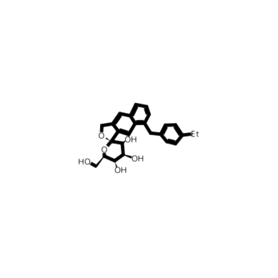 CCc1ccc(Cc2cccc3cc4c(cc23)[C@]2(OC4)O[C@H](CO)[C@@H](O)[C@H](O)[C@H]2O)cc1